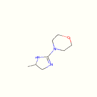 CC1CN=C(N2CCOCC2)N1